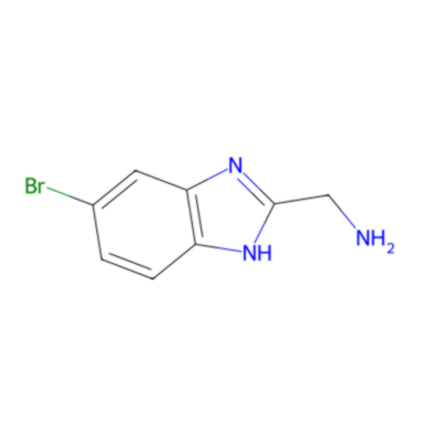 NCc1nc2cc(Br)ccc2[nH]1